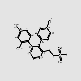 CS(=O)(=O)CCc1ncnc(-c2ccc(Cl)cc2Cl)c1-c1ccc(Cl)cc1